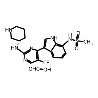 CS(=O)(=O)Nc1cccc2c(-c3nc(N[C@H]4CCCNC4)ncc3C(F)(F)F)c[nH]c12.O=CO